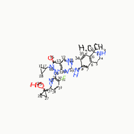 CC1(C)NCCc2cc(Nc3ncc4c(=O)n(C5CC5)n(-c5nc(C6(O)CC6)ccc5F)c4n3)ccc21